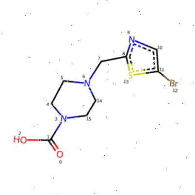 O=C(O)N1CCN(Cc2ncc(Br)s2)CC1